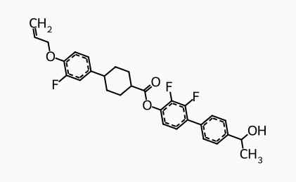 C=CCOc1ccc(C2CCC(C(=O)Oc3ccc(-c4ccc(C(C)O)cc4)c(F)c3F)CC2)cc1F